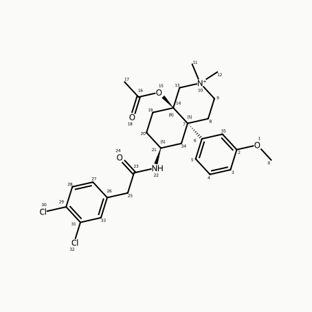 COc1cccc([C@@]23CC[N+](C)(C)C[C@@]2(OC(C)=O)CC[C@H](NC(=O)Cc2ccc(Cl)c(Cl)c2)C3)c1